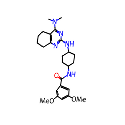 COc1cc(OC)cc(C(=O)NC2CCC(Nc3nc4c(c(N(C)C)n3)CCCC4)CC2)c1